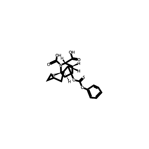 O=C(O)[C@@H]1[C@@H]2CC[C@@H]([C@H](CC3CC3)[C@H]2OC(=S)Oc2ccccc2)N1C(=O)O